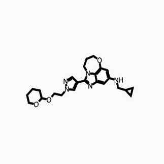 c1nn(CCOC2CCCCO2)cc1-c1nc2cc(NCC3CC3)cc3c2n1CCCO3